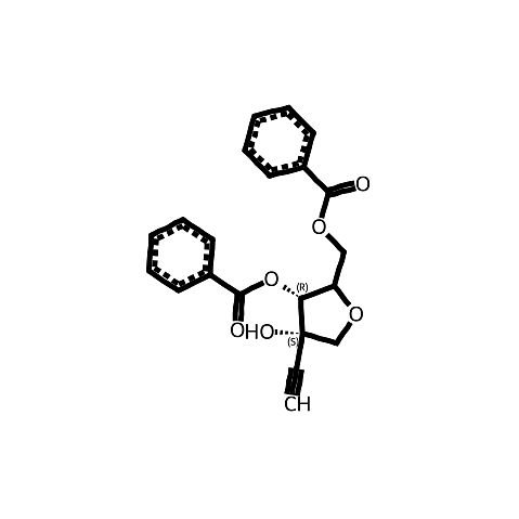 C#C[C@]1(O)COC(COC(=O)c2ccccc2)[C@H]1OC(=O)c1ccccc1